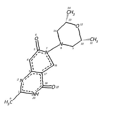 Cc1nc2cc(=O)n(N3C[C@@H](C)O[C@@H](C)C3)cc2c(=O)[nH]1